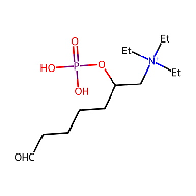 CC[N+](CC)(CC)CC(CCCCC=O)OP(=O)(O)O